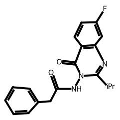 CC(C)c1nc2cc(F)ccc2c(=O)n1NC(=O)Cc1ccccc1